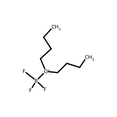 CCCC[O+](CCCC)[B-](F)(F)F